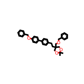 CC1(C)OCC(CCc2ccc(-c3ccc(OCc4ccccc4)cc3)cc2)(COCc2ccccc2)CO1